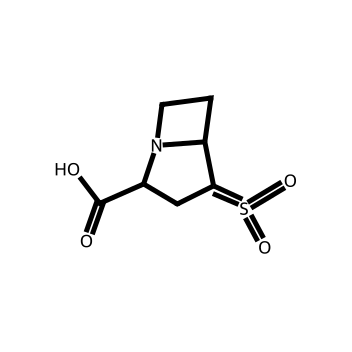 O=C(O)C1CC(=S(=O)=O)C2CCN12